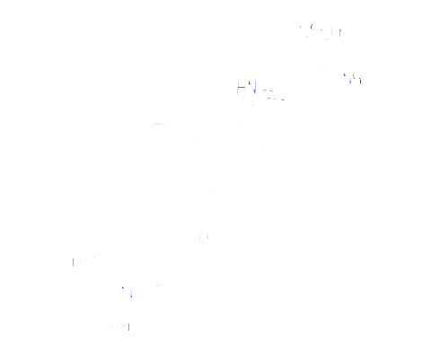 CN(C)C(=O)COc1ccc2[nH]c3c(c2c1)CCNC3C(=O)O.Cl